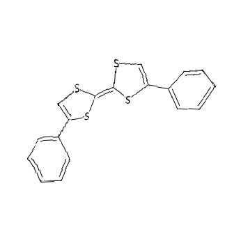 C1=C(c2ccccc2)S/C(=C2/SC=C(c3ccccc3)S2)S1